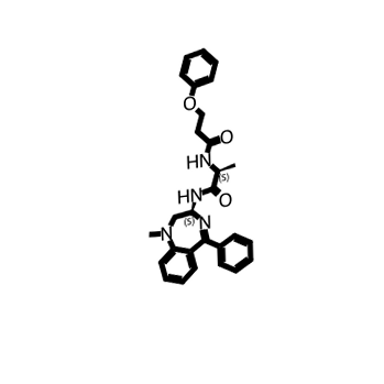 C[C@H](NC(=O)CCOc1ccccc1)C(=O)N[C@@H]1CN(C)c2ccccc2C(c2ccccc2)=N1